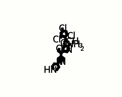 CC(Oc1c(N)ncc2c(-c3cnn(C4CCNCC4)c3)coc12)c1c(Cl)cc(Cl)cc1Cl